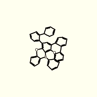 C1=CCC(c2ccccc2-c2cc(-c3ccccc3-c3ccccc3)c3c4c2Oc2ccccc2B4c2ccccc2O3)C=C1